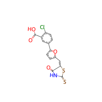 O=C1NC(=S)SC1=Cc1ccc(-c2ccc(Cl)c(C(=O)O)c2)o1